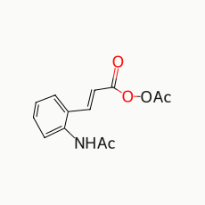 CC(=O)Nc1ccccc1C=CC(=O)OOC(C)=O